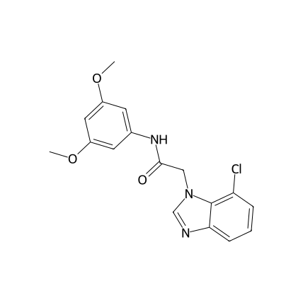 COc1cc(NC(=O)Cn2cnc3cccc(Cl)c32)cc(OC)c1